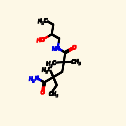 CCC(O)CNC(=O)C(C)(C)CC(C)(CC)C(N)=O